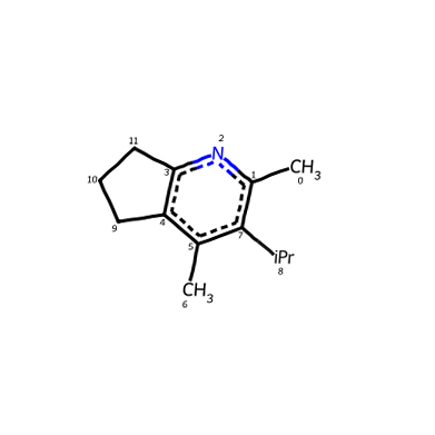 Cc1nc2c(c(C)c1C(C)C)CCC2